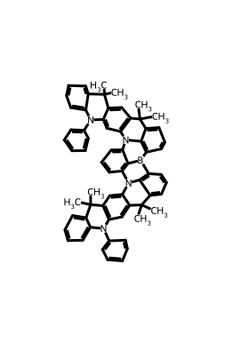 CC1(C)c2ccccc2N(c2ccccc2)c2cc3c(cc21)N1c2cccc4c2B(c2cccc(c21)C3(C)C)c1cccc2c1N4c1cc3c(cc1C2(C)C)C(C)(C)c1ccccc1N3c1ccccc1